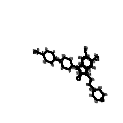 CC(C)[C@H]1CC[C@@H](N2CCC(n3c(=O)n(CCN4CCOCC4)c4cc(Cl)c(F)cc43)CC2)CC1